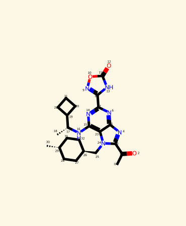 CC(=O)c1nc2nc(-c3noc(=O)[nH]3)nc(N[C@H](C)C3CCC3)c2n1C[C@H]1CC[C@H](C)CC1